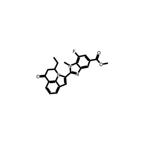 CCC1CC(=O)c2cccc3cc(-c4nc5cc(C(=O)OC)cc(F)c5n4C)n1c23